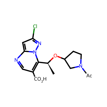 CC(=O)N1CCC(O[C@@H](C)c2c(C(=O)O)cnc3cc(Cl)nn23)C1